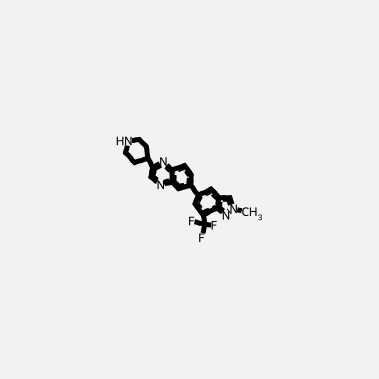 Cn1cc2cc(-c3ccc4nc(C5CCNCC5)cnc4c3)cc(C(F)(F)F)c2n1